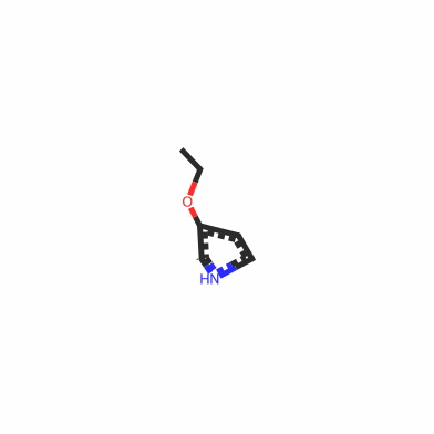 CCOc1[c][nH]cc1